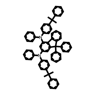 CC(C)(c1ccccc1)c1ccc(N(c2ccccc2)c2cc(N(c3ccccc3)c3ccc(C(C)(C)c4ccccc4)cc3)c3c(c2)C(c2ccccc2)(c2ccccc2)c2ccccc2-3)cc1